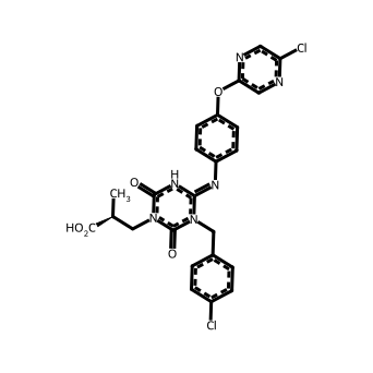 C[C@@H](Cn1c(=O)[nH]/c(=N\c2ccc(Oc3cnc(Cl)cn3)cc2)n(Cc2ccc(Cl)cc2)c1=O)C(=O)O